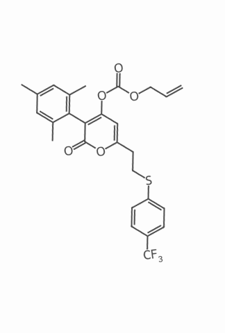 C=CCOC(=O)Oc1cc(CCSc2ccc(C(F)(F)F)cc2)oc(=O)c1-c1c(C)cc(C)cc1C